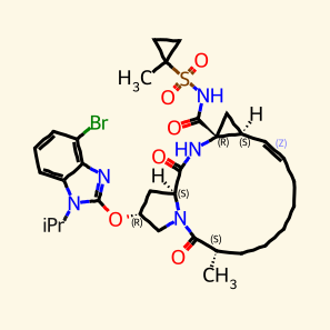 CC(C)n1c(O[C@@H]2C[C@H]3C(=O)N[C@]4(C(=O)NS(=O)(=O)C5(C)CC5)C[C@H]4/C=C\CCCCC[C@H](C)C(=O)N3C2)nc2c(Br)cccc21